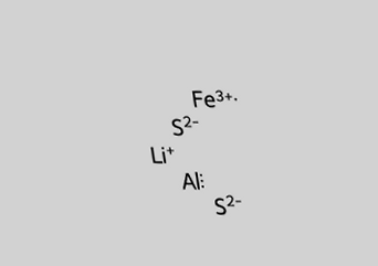 [Al].[Fe+3].[Li+].[S-2].[S-2]